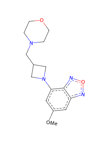 COc1cc(N2CC(CN3CCOCC3)C2)c2nonc2c1